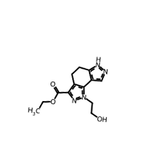 CCOC(=O)c1nn(CCO)c2c1CCc1[nH]ncc1-2